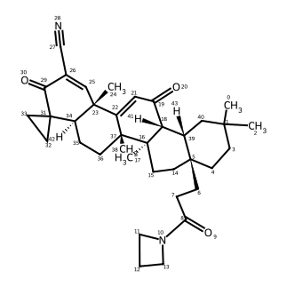 CC1(C)CC[C@]2(CCC(=O)N3CCC3)CC[C@]3(C)[C@H](C(=O)C=C4[C@@]5(C)C=C(C#N)C(=O)C6(CC6)[C@@H]5CC[C@]43C)[C@@H]2C1